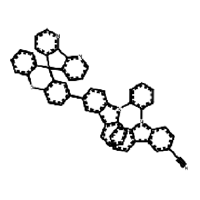 N#Cc1ccc2c(c1)c1ccccc1n2-c1ccccc1-n1c2ccccc2c2cc(-c3ccc4c(c3)C3(c5ccccc5O4)c4cccnc4-c4ncccc43)ccc21